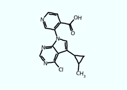 CC1CC1c1cn(-c2cnccc2C(=O)O)c2ncnc(Cl)c12